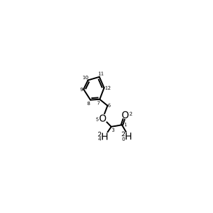 [2H]C(=O)C([2H])OCc1ccccc1